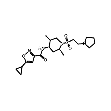 C[C@H]1CN(S(=O)(=O)CCN2CCCC2)[C@@H](C)C[C@H]1NC(=O)c1cc(C2CC2)on1